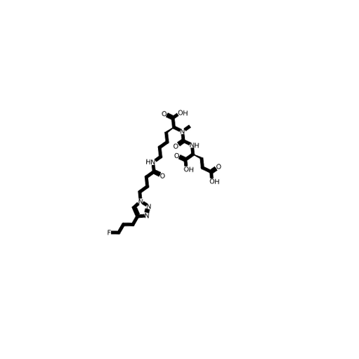 CN(C(=O)N[C@@H](CCC(=O)O)C(=O)O)[C@@H](CCCCNC(=O)CCCn1cc(CCCF)nn1)C(=O)O